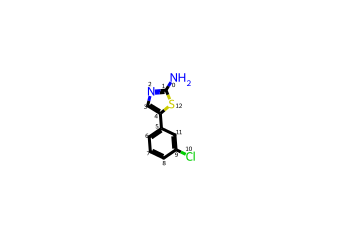 Nc1ncc(-c2cccc(Cl)c2)s1